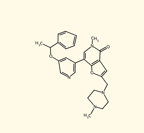 CC(Oc1cncc(-c2cn(C)c(=O)c3cc(CN4CCN(C)CC4)oc23)c1)c1ccccc1